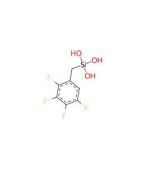 O[Si](O)(O)Cc1cc(F)c(F)c(F)c1F